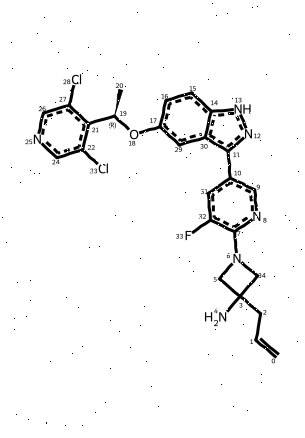 C=CCC1(N)CN(c2ncc(-c3n[nH]c4ccc(O[C@H](C)c5c(Cl)cncc5Cl)cc34)cc2F)C1